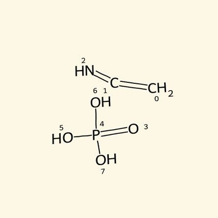 C=C=N.O=P(O)(O)O